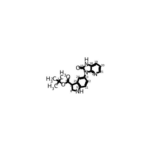 CC(C)(C)OC(=O)C1CNc2ccc(-n3c(=O)[nH]c4cccnc43)cc21